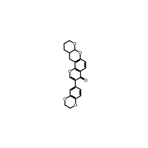 O=c1c(-c2ccc3c(c2)OCCO3)coc2c3c(ccc12)OC1OCCCC1C3